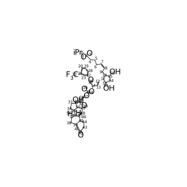 CC(C)OC(=O)CCC/C=C\C[C@@H]1[C@@H](/C=C/[C@H](COc2cccc(C(F)(F)F)c2)OC(=O)OCC(=O)[C@@]2(O)CC[C@H]3[C@@H]4CCC5=CC(=O)CC[C@]5(C)C4=CC[C@@]32C)[C@H](O)C[C@@H]1O